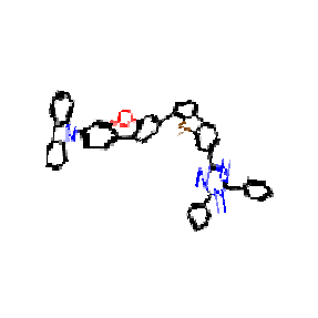 c1ccc(C2=NC(c3ccc4c(c3)sc3c(-c5ccc6c(c5)oc5cc(-n7c8ccccc8c8ccccc87)ccc56)cccc34)=NC(c3ccccc3)N2)cc1